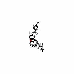 COc1cnc(C(=O)Nc2ccc(F)c([C@@]3(C)N=C(NC(=O)OC(C)(C)C)C(C)(C)[S@]4(=O)=NCC[C@H]34)n2)cn1